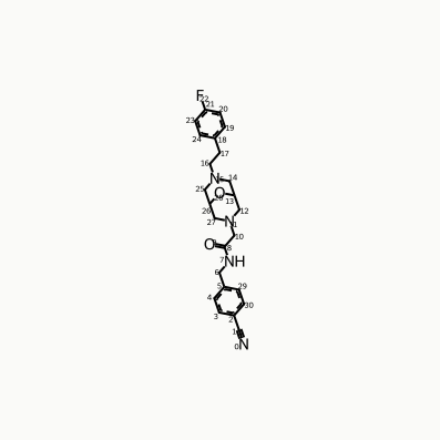 N#Cc1ccc(CNC(=O)CN2CC3CN(CCc4ccc(F)cc4)CC(C2)O3)cc1